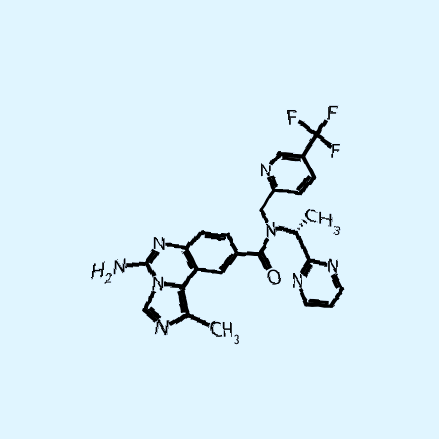 Cc1ncn2c(N)nc3ccc(C(=O)N(Cc4ccc(C(F)(F)F)cn4)[C@H](C)c4ncccn4)cc3c12